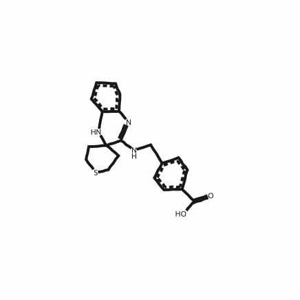 O=C(O)c1ccc(CNC2=Nc3ccccc3NC23CCSCC3)cc1